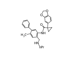 CCCNCc1cc(C)c(-c2ccccc2)cc1NC(=O)C1(c2ccc3c(c2)OCO3)CC1